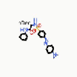 CCCCCCCCCCC(NS(=O)(=O)c1ccc(N=Nc2ccc(N(C)C)cc2)cc1)C(=O)Nc1ccccc1